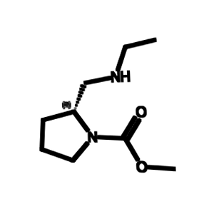 CCNC[C@H]1CCCN1C(=O)OC